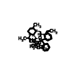 C=CC[C@H](C[C@H]1C(C)=CC[C@H](C(C)C)[C@H]1COS(C)(=O)=O)O[Si](c1ccccc1)(c1ccccc1)C(C)(C)C